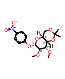 CO[C@H]1[C@H]2OC(C)(C)OC[C@H]2O[C@@H](Oc2ccc([N+](=O)[O-])cc2)[C@@H]1OC